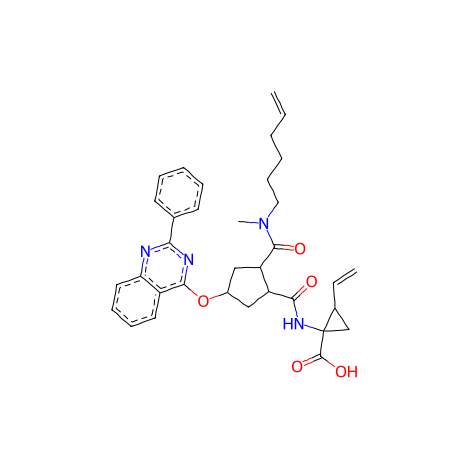 C=CCCCCN(C)C(=O)C1CC(Oc2nc(-c3ccccc3)nc3ccccc23)CC1C(=O)NC1(C(=O)O)CC1C=C